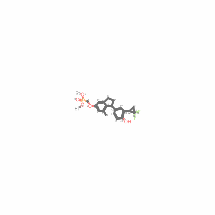 CCOP(=O)(COc1cc(C)c2c(c1)CCC2c1ccc(O)c(C2CC2(F)F)c1)OCC